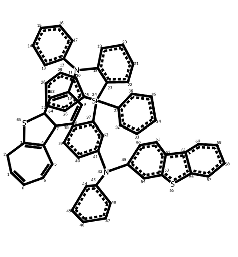 C1=CCC2=C(C=C1)C1C=CC(N(c3ccccc3)c3ccccc3[Si](c3ccccc3)(c3ccccc3)c3cccc(N(c4ccccc4)c4ccc5c(c4)sc4ccccc45)c3)=CC1S2